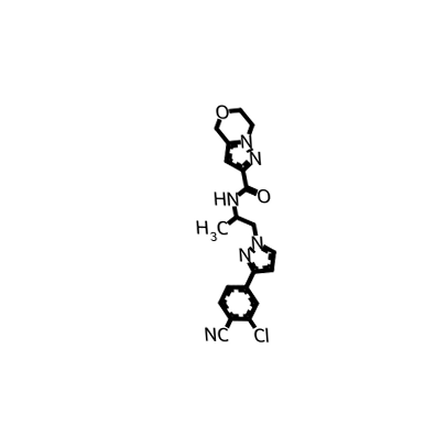 CC(Cn1ccc(-c2ccc(C#N)c(Cl)c2)n1)NC(=O)c1cc2n(n1)CCOC2